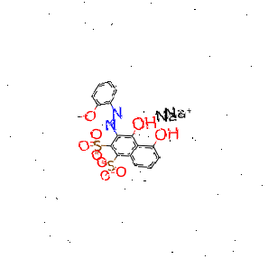 COc1ccccc1N=Nc1c(S(=O)(=O)[O-])c(S(=O)(=O)[O-])c2cccc(O)c2c1O.[Na+].[Na+]